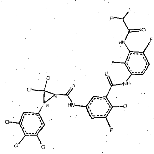 O=C(Nc1ccc(F)c(NC(=O)C(F)F)c1F)c1cc(NC(=O)[C@H]2[C@H](c3cc(Cl)c(Cl)c(Cl)c3)C2(Cl)Cl)cc(F)c1Cl